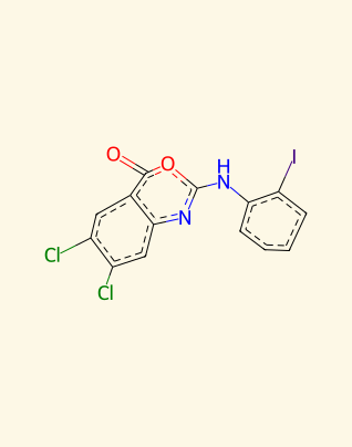 O=c1oc(Nc2ccccc2I)nc2cc(Cl)c(Cl)cc12